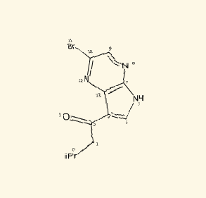 CC(C)CC(=O)c1c[nH]c2ncc(Br)nc12